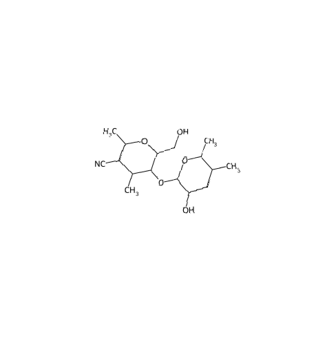 CC1CC(O)C(OC2C(CO)OC(C)C(C#N)C2C)OC1C